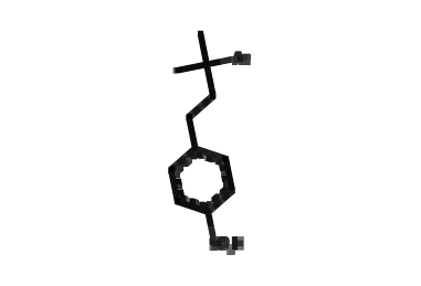 CC(=O)C(C)(C)CCc1ccc(S(=O)(=O)O)cc1